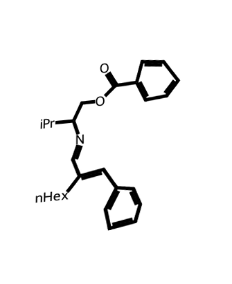 CCCCCCC(C=NC(COC(=O)c1ccccc1)C(C)C)=Cc1ccccc1